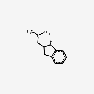 CN(C)CC1Cc2ccccc2N1